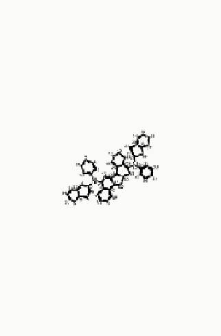 c1ccc(N(c2ccc3ccccc3c2)c2cc3c(sc4cc(N(c5ccccc5)c5ccc6ccccc6c5)c5ccccc5c43)c3ccccc23)cc1